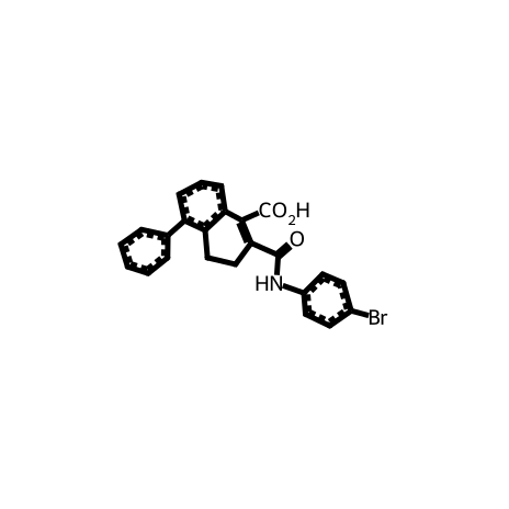 O=C(O)C1=C(C(=O)Nc2ccc(Br)cc2)CCc2c1cccc2-c1ccccc1